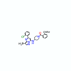 Bc1cnn2c(NC3CCN(C(=O)c4ccccc4OC)CC3)cc(-c3ccccc3Cl)nc12